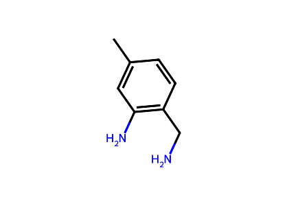 Cc1ccc(CN)c(N)c1